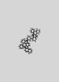 c1ccc(-c2nc3cccc(-c4cccc(-n5c6ccccc6c6c5ccc5c7c8ccccc8ccc7n(-c7ccccc7)c56)c4)c3nc2-c2ccccc2)cc1